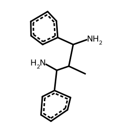 CC(C(N)c1ccccc1)C(N)c1ccccc1